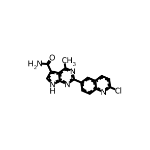 Cc1nc(-c2ccc3nc(Cl)ccc3c2)nc2[nH]cc(C(N)=O)c12